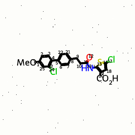 COc1ccc(-c2ccc(CCC(=O)Nc3sc(Cl)cc3C(=O)O)cc2)c(Cl)c1